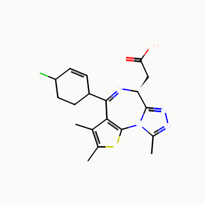 Cc1sc2c(c1C)C(C1C=CC(Cl)CC1)=N[C@@H](CC(=O)O)c1nnc(C)n1-2